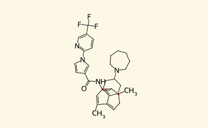 CC1=C/C(NC(=O)c2ccn(-c3ccc(C(F)(F)F)cn3)c2)=C\C(C)C\C=C\1C1=CCC(N2CCCCCC2)CC1